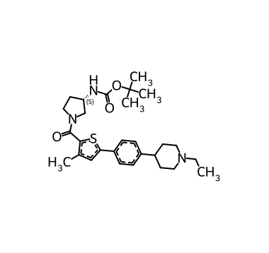 CCN1CCC(c2ccc(-c3cc(C)c(C(=O)N4CC[C@H](NC(=O)OC(C)(C)C)C4)s3)cc2)CC1